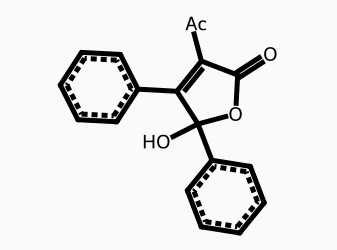 CC(=O)C1=C(c2ccccc2)C(O)(c2ccccc2)OC1=O